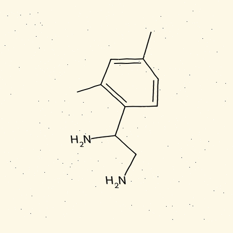 Cc1ccc(C(N)CN)c(C)c1